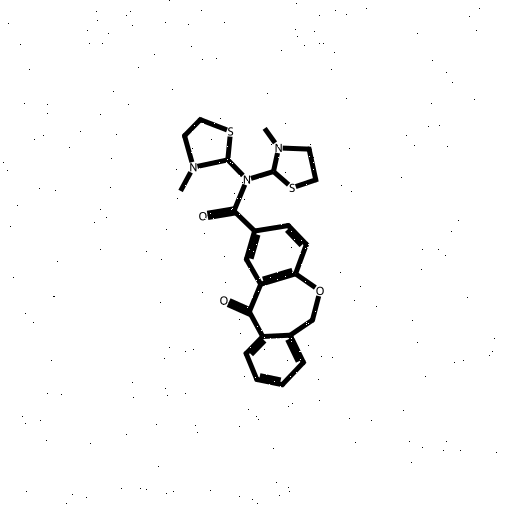 CN1CCSC1N(C(=O)c1ccc2c(c1)C(=O)c1ccccc1CO2)C1SCCN1C